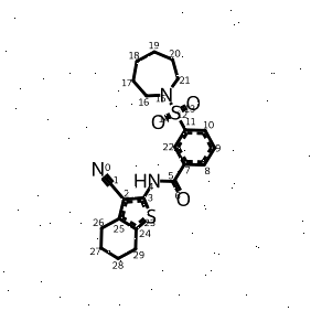 N#Cc1c(NC(=O)c2cccc(S(=O)(=O)N3CCCCCC3)c2)sc2c1CCCC2